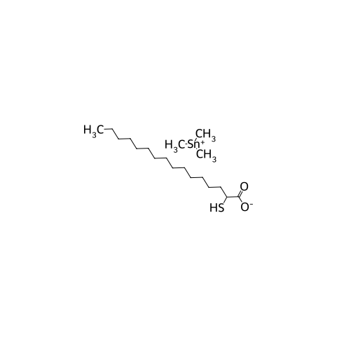 CCCCCCCCCCCCCCC(S)C(=O)[O-].[CH3][Sn+]([CH3])[CH3]